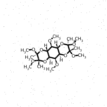 CO[C@@H]1[C@H]2O[C@](C)(OC)[C@@](C)(OC)O[C@@H]2[C@H](OC)[C@@H]2O[C@@](C)(OC)[C@](C)(OC)O[C@@H]12